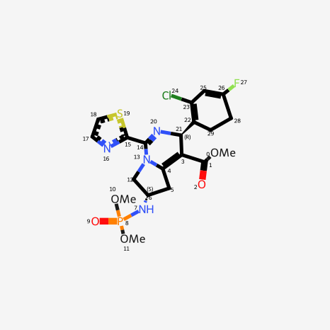 COC(=O)C1=C2C[C@H](NP(=O)(OC)OC)CN2C(c2nccs2)=N[C@H]1C1=C(Cl)C=C(F)CC1